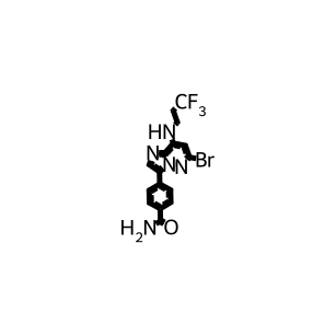 NC(=O)c1ccc(-c2cnc3c(NCCC(F)(F)F)cc(Br)nn23)cc1